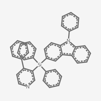 c1ccc(-c2ccncc2[Si](c2ccccc2)(c2ccccc2)c2ccc3c(c2)c2ccccc2n3-c2ccccc2)cc1